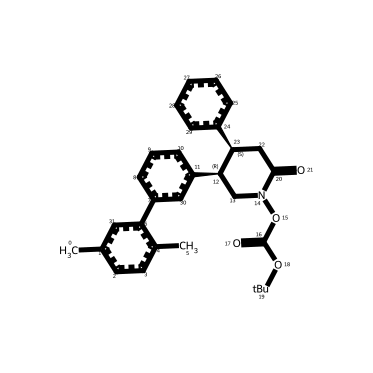 Cc1ccc(C)c(-c2cccc([C@@H]3CN(OC(=O)OC(C)(C)C)C(=O)C[C@@H]3c3ccccc3)c2)c1